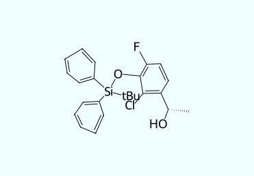 C[C@H](O)c1ccc(F)c(O[Si](c2ccccc2)(c2ccccc2)C(C)(C)C)c1Cl